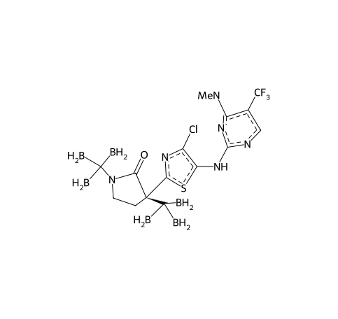 BC(B)(B)N1CC[C@](c2nc(Cl)c(Nc3ncc(C(F)(F)F)c(NC)n3)s2)(C(B)(B)B)C1=O